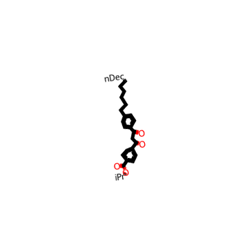 CCCCCCCCCCCCCCCCc1ccc(C(=O)CC(=O)c2ccc(C(=O)OC(C)C)cc2)cc1